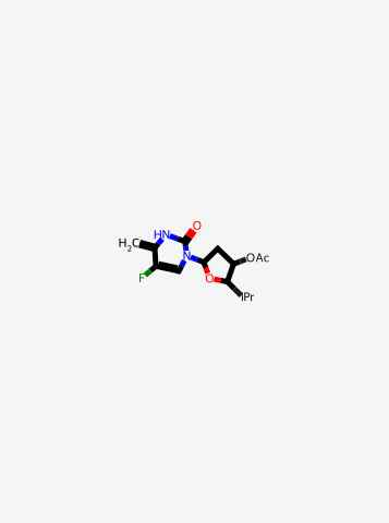 C=C1NC(=O)N(C2CC(OC(C)=O)C(C(C)C)O2)C=C1F